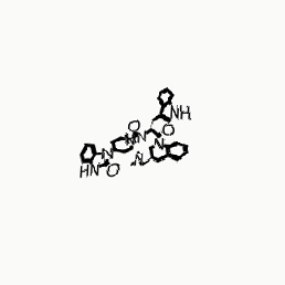 CN(C)C[C@@H]1Cc2ccccc2N(C(=O)[C@@H](Cc2c[nH]c3ccccc23)NC(=O)N2CCC(n3c(=O)[nH]c4ccccc43)CC2)C1